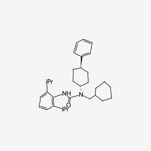 CC(C)c1cccc(C(C)C)c1NC(=O)N(CC1CCCCC1)[C@H]1CC[C@H](c2ccccc2)CC1